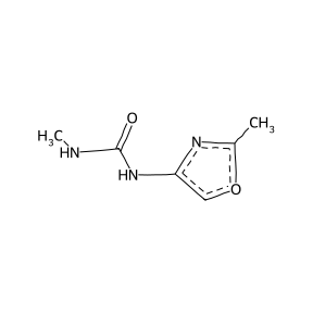 CNC(=O)Nc1coc(C)n1